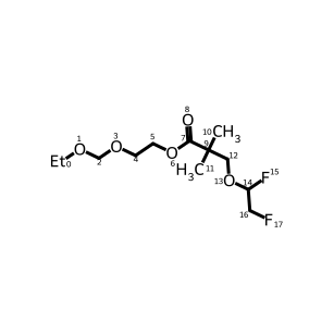 CCOCOCCOC(=O)C(C)(C)COC(F)CF